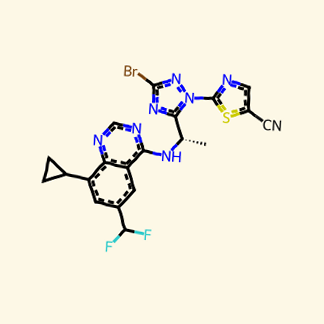 C[C@H](Nc1ncnc2c(C3CC3)cc(C(F)F)cc12)c1nc(Br)nn1-c1ncc(C#N)s1